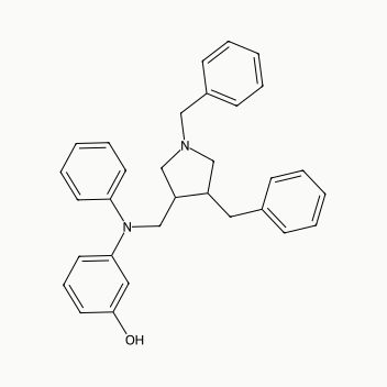 Oc1cccc(N(CC2CN(Cc3ccccc3)CC2Cc2ccccc2)c2ccccc2)c1